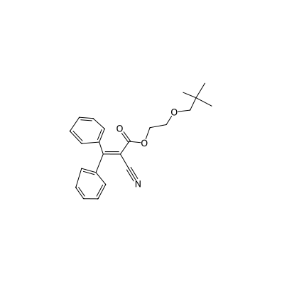 CC(C)(C)COCCOC(=O)C(C#N)=C(c1ccccc1)c1ccccc1